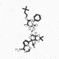 C[C@H](NP(=O)(OC[C@H]1O[C@@](C#N)(c2ccc3c(N)ncnn23)[C@@H]2OC(C)(C)O[C@@H]21)Oc1ccccc1)C(=O)OCCC(C)(C)C